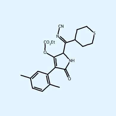 CCOC(=O)OC1=C(c2cc(C)ccc2C)C(=O)NC1C(=NC#N)C1CCSCC1